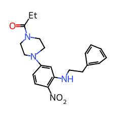 CCC(=O)N1CCN(c2ccc([N+](=O)[O-])c(NCCc3ccccc3)c2)CC1